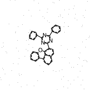 c1ccc(-c2nc(-c3ccccc3)nc(-c3ccc4cccc5c4c3Oc3ccccc3-5)n2)cc1